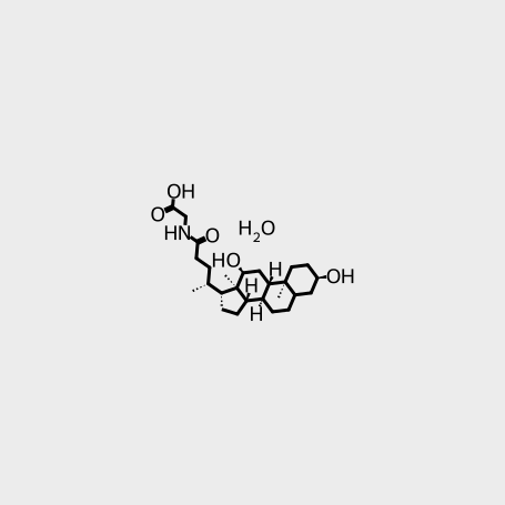 C[C@H](CCC(=O)NCC(=O)O)[C@H]1CC[C@H]2[C@@H]3CCC4C[C@H](O)CC[C@]4(C)[C@H]3C[C@H](O)[C@]12C.O